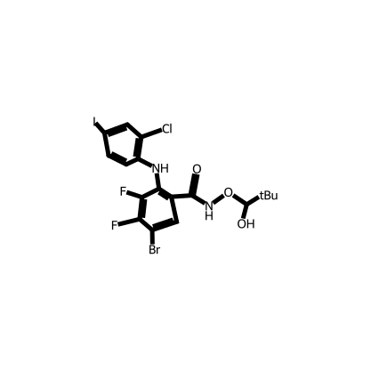 CC(C)(C)C(O)ONC(=O)c1cc(Br)c(F)c(F)c1Nc1ccc(I)cc1Cl